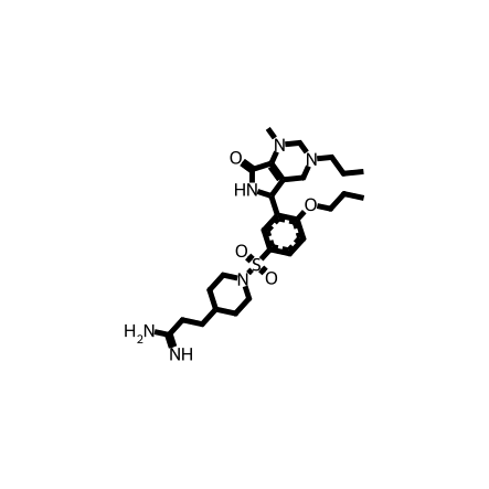 CCCOc1ccc(S(=O)(=O)N2CCC(CCC(=N)N)CC2)cc1C1NC(=O)C2=C1CN(CCC)CN2C